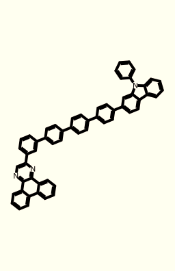 c1ccc(-n2c3ccccc3c3ccc(-c4ccc(-c5ccc(-c6ccc(-c7cccc(-c8cnc9c%10ccccc%10c%10ccccc%10c9n8)c7)cc6)cc5)cc4)cc32)cc1